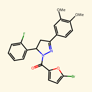 COc1ccc(C2=NN(C(=O)c3ccc(Br)o3)C(c3ccccc3F)C2)cc1OC